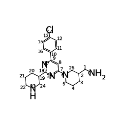 NCC1CCCN(c2cc(-c3ccc(Cl)cc3)nc(C3CCCNC3)n2)C1